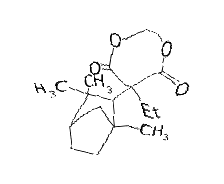 CCC1(C2C3(C)CCC(C3)C2(C)C)C(=O)OCOC1=O